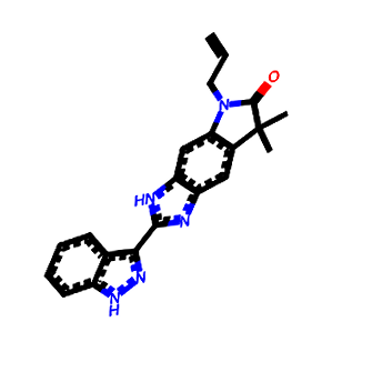 C=CCN1C(=O)C(C)(C)c2cc3nc(-c4n[nH]c5ccccc45)[nH]c3cc21